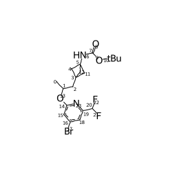 CC(CC12CC(NC(=O)OC(C)(C)C)(C1)C2)Oc1cc(Br)cc(C(F)F)n1